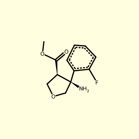 COC(=O)[C@@H]1COC[C@@]1(N)c1ccccc1F